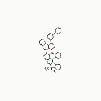 CC1(C)c2ccccc2-c2c(-c3ccccc3N(c3ccc(-c4cccc(-c5ccccc5)c4)cc3)c3ccccc3-c3ccc4ccccc4c3)cccc21